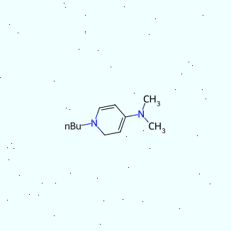 CCCCN1C=CC(N(C)C)=CC1